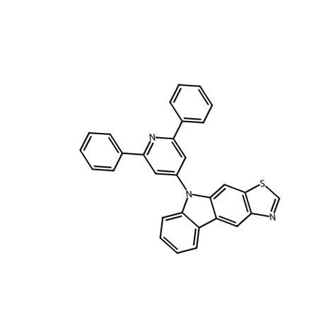 c1ccc(-c2cc(-n3c4ccccc4c4cc5ncsc5cc43)cc(-c3ccccc3)n2)cc1